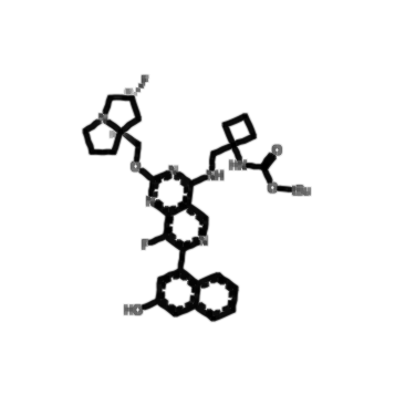 CC(C)(C)OC(=O)NC1(CNc2nc(OC[C@@]34CCCN3C[C@H](F)C4)nc3c(F)c(-c4cc(O)cc5ccccc45)ncc23)CCC1